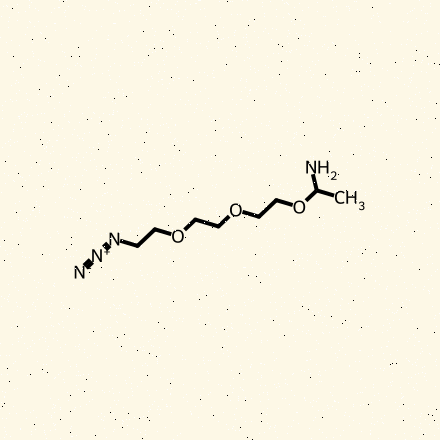 CC(N)OCCOCCOCCN=[N+]=[N-]